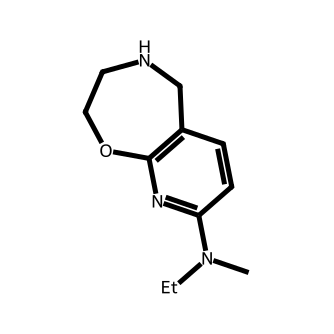 CCN(C)c1ccc2c(n1)OCCNC2